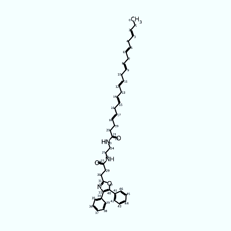 CCC=CCC=CCC=CCC=CCC=CCC=CCCC(=O)NCCNC(=O)CCc1nc(-c2ccccc2)c(-c2ccccc2)o1